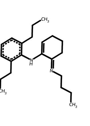 CCCCN=C1CCCC=C1Nc1c(CCC)cccc1CCC